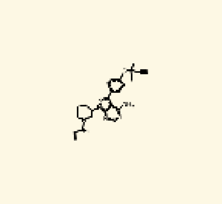 C#CC(C)(C)Oc1ccc(-c2nn(C3CCCN(C(=O)C=C)C3)c3ncnc(N)c23)cc1